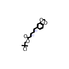 CC(C)(Cl)COC(=O)/C=C/C=C/c1ccc2c(c1)OCO2